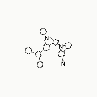 N#Cc1ccc2c(c1)c1ccccc1n2-c1ccc2c(c1)-c1ccc(-c3cc(-c4ccccc4)cc(-c4ccccc4)c3)cc1CN(c1ccccc1)C2